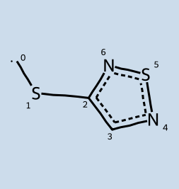 [CH2]Sc1cnsn1